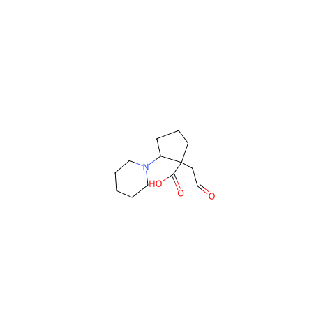 O=CCC1(C(=O)O)CCCC1N1CCCCC1